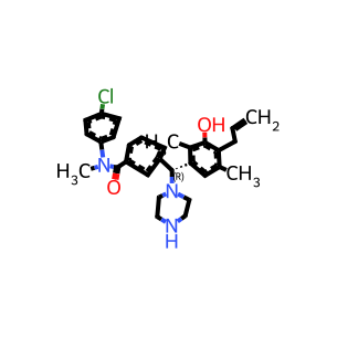 C=CCc1c(C)cc([C@@H](c2cccc(C(=O)N(C)c3ccc(Cl)cc3)c2)N2CCNCC2)c(C)c1O